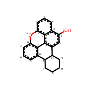 Oc1cc2c3c4c(cccc14)Oc1cccc(c1-3)C1CCCCC21